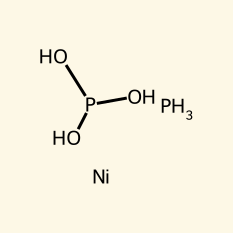 OP(O)O.P.[Ni]